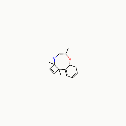 C/C1=C/NC2(C)C=CC2(C)C2=CC=CCC2O1